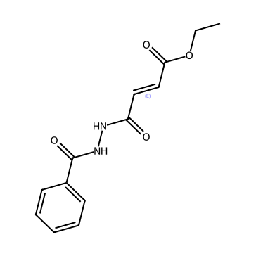 CCOC(=O)/C=C/C(=O)NNC(=O)c1ccccc1